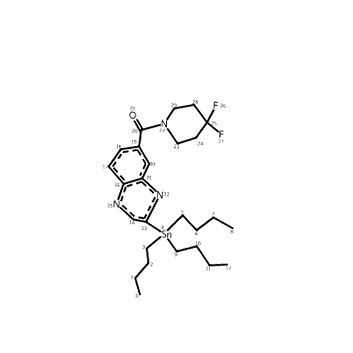 CCC[CH2][Sn]([CH2]CCC)([CH2]CCC)[c]1cnc2ccc(C(=O)N3CCC(F)(F)CC3)cc2n1